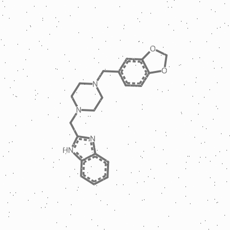 c1ccc2[nH]c(CN3CCN(Cc4ccc5c(c4)OCO5)CC3)nc2c1